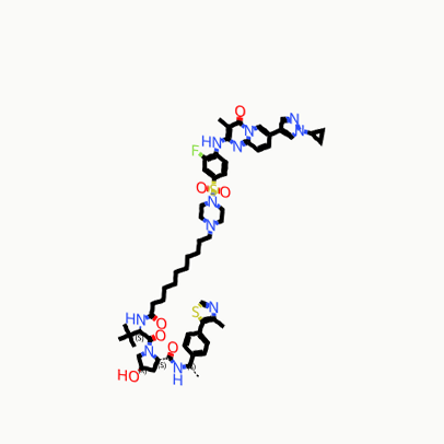 Cc1ncsc1-c1ccc([C@H](C)NC(=O)[C@@H]2C[C@@H](O)CN2C(=O)[C@@H](NC(=O)CCCCCCCCCCN2CCN(S(=O)(=O)c3ccc(Nc4nc5ccc(-c6cnn(C7CC7)c6)cn5c(=O)c4C)c(F)c3)CC2)C(C)(C)C)cc1